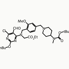 CCCCOc1nc(Cl)c(C=O)c(N(CC(=O)OCC)Cc2ccc(CN3CCC(N(C)C(=O)OC(C)(C)C)CC3)cc2OC)n1